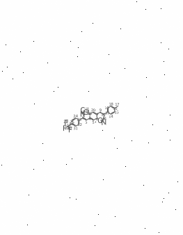 [C-]#[N+]/C(=C\C1=CC(=O)C(/C=C(\C#N)c2ccc(C)cc2)=CC1=O)c1ccc(C(F)(F)F)cc1